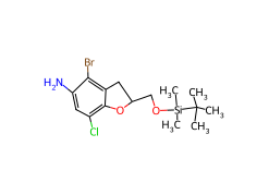 CC(C)(C)[Si](C)(C)OCC1Cc2c(Br)c(N)cc(Cl)c2O1